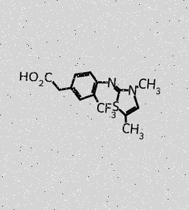 Cc1cn(C)c(=Nc2ccc(CC(=O)O)cc2C(F)(F)F)s1